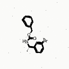 C[C@H](NC(=O)OCc1ccccc1)c1cccc(Br)c1